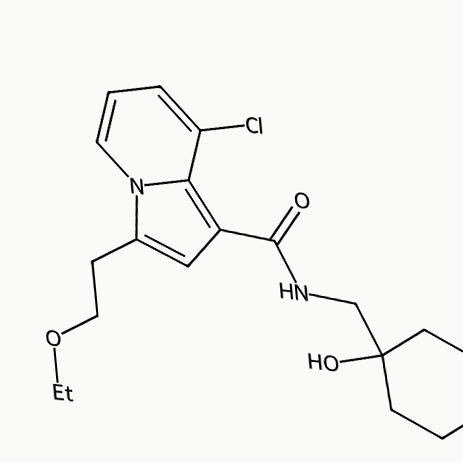 CCOCCc1cc(C(=O)NCC2(O)CCCCC2)c2c(Cl)cccn12